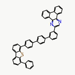 c1ccc(-c2cccc3c2sc2c(-c4ccc(-c5ccc(-c6cccc(-c7cnc8c9ccccc9c9ccccc9c8n7)c6)cc5)cc4)cccc23)cc1